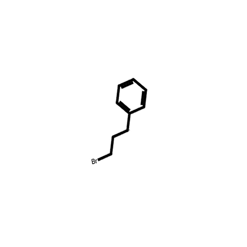 BrCC[CH]c1ccccc1